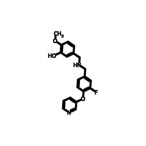 COc1ccc(CNCc2ccc(Oc3cccnc3)c(F)c2)cc1O